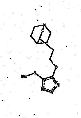 CCC(C)Sc1nsnc1OCCC1CN2CCC1CC2